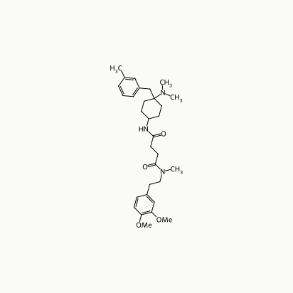 COc1ccc(CCN(C)C(=O)CCC(=O)NC2CCC(Cc3cccc(C)c3)(N(C)C)CC2)cc1OC